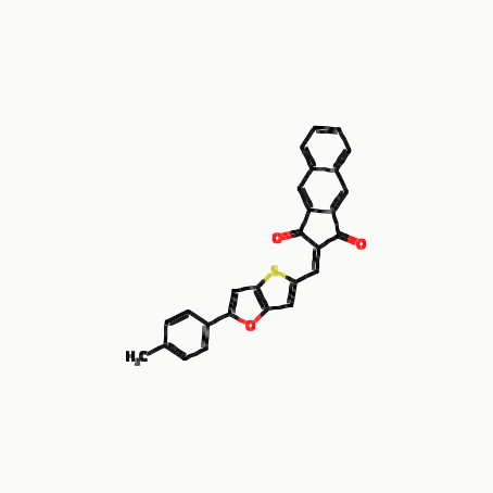 Cc1ccc(-c2cc3sc(C=C4C(=O)c5cc6ccccc6cc5C4=O)cc3o2)cc1